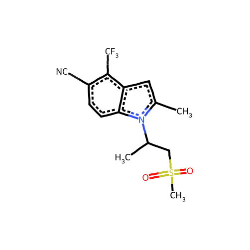 Cc1cc2c(C(F)(F)F)c(C#N)ccc2n1C(C)CS(C)(=O)=O